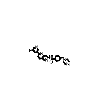 CN1CCN(CC2CCC(C(=O)Nc3cc4nc(-c5cncc(F)c5)ccc4cn3)CC2)CC1